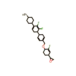 CCCC1CCC(C2=CCC(C3C=CC(COC4CCC(C5CO5)C=C4F)=CC3)C(F)=C2F)CC1